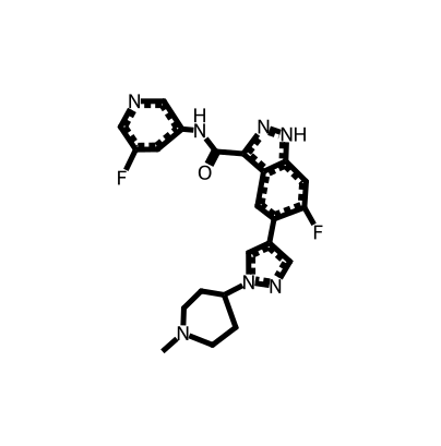 CN1CCC(n2cc(-c3cc4c(C(=O)Nc5cncc(F)c5)n[nH]c4cc3F)cn2)CC1